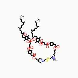 CCN(CCCCCOC(=O)Cc1ccc(OC(=O)CCC(=O)Oc2c(C)c(C)c3c(c2C)CCC(C)(CCCC(C)CCCC(C)CCCC(C)C)O3)cc1)CCSSCCN1CCC(CCOC(=O)Cc2ccc(OC(=O)CCC(=O)Oc3c(C)c(C)c4c(c3C)CCC(C)(CCCC(C)CCCC(C)CCCC(C)C)O4)cc2)CC1